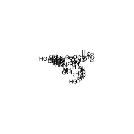 CC(C)[C@H](NC(=O)[C@@H](CCC(=O)NC[C@H](O)[C@@H](O)[C@H](O)CCO)NC(=O)CCOCCOCCOCCOCCNC(=O)CCC(=O)N1Cc2ccccc2C#Cc2ccccc21)C(=O)N[C@@H](CCCNC(N)=O)C(=O)Nc1ccc(COC(=O)N[C@@H](C=O)C(=O)Nc2ccc3c(c2)[C@@]2(C)CCC[C@](C)(C(=O)NC(=O)[C@@]4(C)CCC[C@]5(C)c6cc(O)ccc6CC[C@@H]45)[C@@H]2CC3)cc1